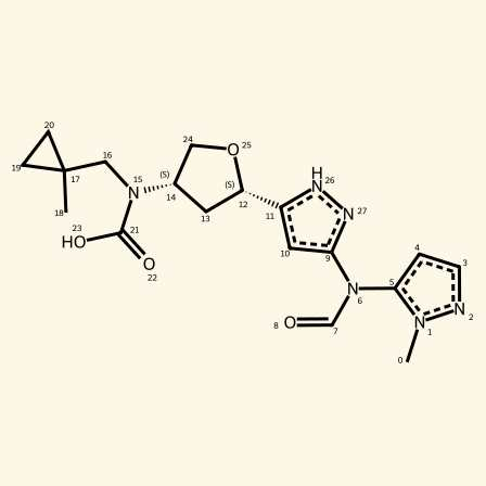 Cn1nccc1N(C=O)c1cc([C@@H]2C[C@H](N(CC3(C)CC3)C(=O)O)CO2)[nH]n1